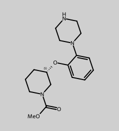 COC(=O)N1CCC[C@H](Oc2ccccc2N2CCNCC2)C1